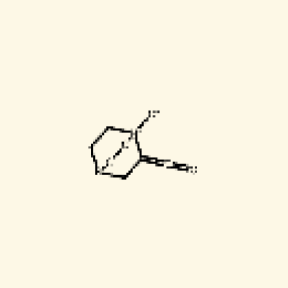 O=C=C1CN2CC[N+]1([O-])CC2